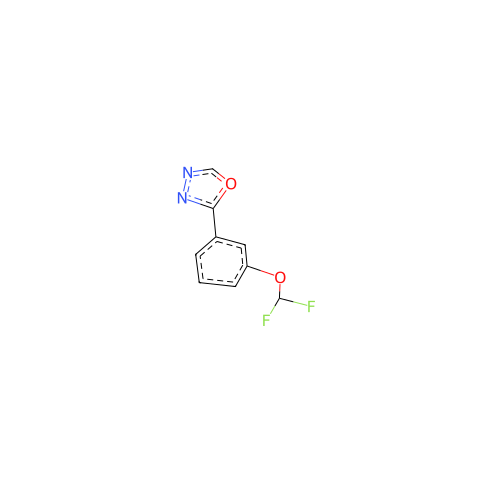 FC(F)Oc1cccc(-c2nnco2)c1